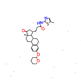 Cc1cnc(NC(=O)CC[C@@H]2CC(=O)[C@@]3(C)CCC4c5ccc(OC6CCCCO6)cc5CCC4C23)s1